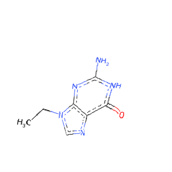 CCn1cnc2c(=O)[nH]c(N)nc21